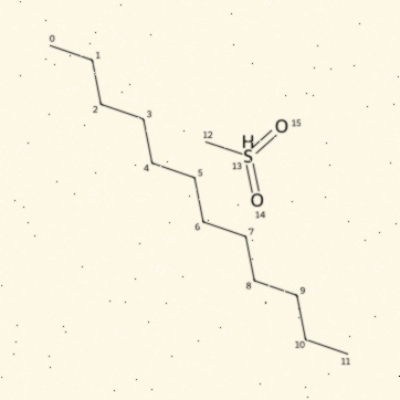 CCCCCCCCCCCC.C[SH](=O)=O